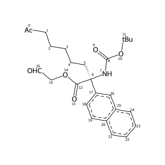 CC(=O)CCCCC[C@@](NC(=O)OC(C)(C)C)(C(=O)OCC=O)c1ccc2ccccc2c1